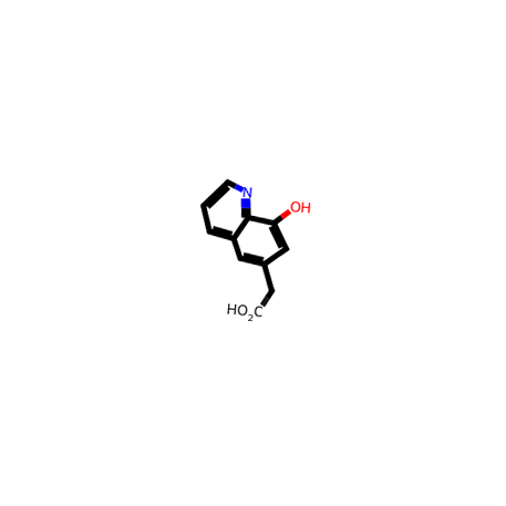 O=C(O)Cc1cc(O)c2ncccc2c1